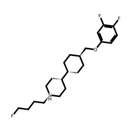 FCCCC[Si@H]1CC[C@H]([C@H]2CC[C@H](COc3ccc(F)c(F)c3)CC2)CC1